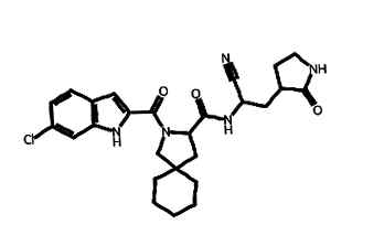 N#CC(CC1CCNC1=O)NC(=O)C1CC2(CCCCC2)CN1C(=O)c1cc2ccc(Cl)cc2[nH]1